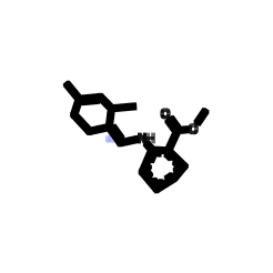 COC(=O)c1ccccc1N/C=C1/CCC(C)=CC1C